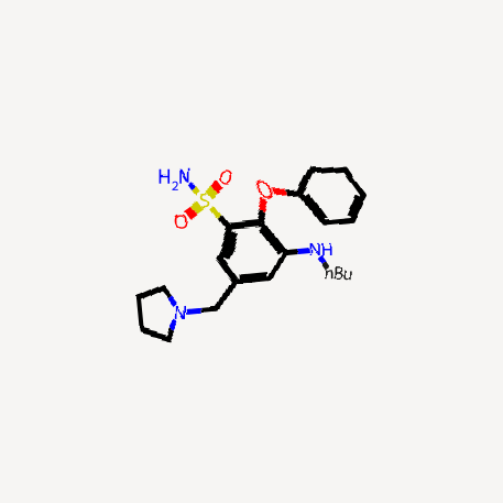 CCCCNc1cc(CN2CCCC2)cc(S(N)(=O)=O)c1OC1=CC=CCC1